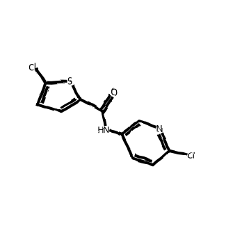 O=C(Nc1ccc(Cl)nc1)c1ccc(Cl)s1